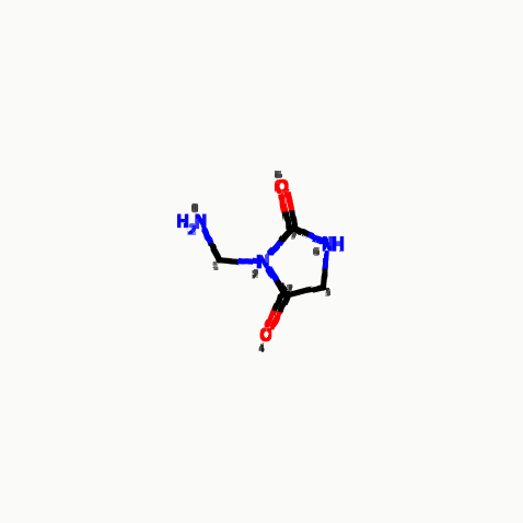 NCN1C(=O)CNC1=O